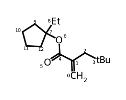 C=C(CC(C)(C)C)C(=O)OC1(CC)CCCC1